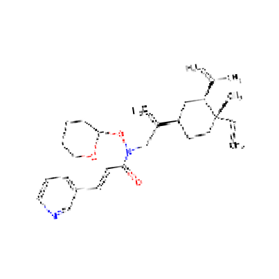 C=C[C@]1(C)CC[C@@H](C(=C)CN(OC2CCCCO2)C(=O)/C=C/c2cccnc2)C[C@H]1C(=C)C